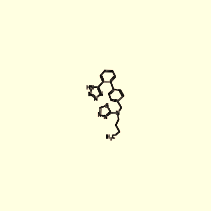 CCCCN(Cc1ccc(-c2ccccc2-c2nnn[nH]2)cc1)c1nncs1